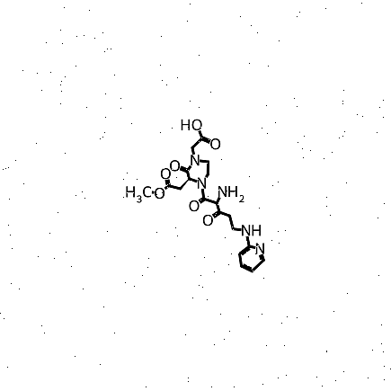 COC(=O)C[C@H]1C(=O)N(CC(=O)O)CCN1C(=O)C(N)C(=O)CCNc1ccccn1